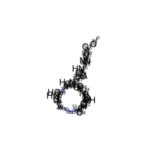 CCCOCCC(=O)N1CCN(c2ncc(CNC(=S)O[C@@H]3CC[C@@H](C[C@@H](N)[C@@H]4C[C@@H](OC)[C@H](C)/C=C(\C)[C@@H](O)[C@@H](O)C(=O)[C@H](C)C[C@H](C)/C=C/C=C/C=C(\C)[C@@H](OC)C[C@@H]5CC[C@@H](C)[C@@](O)(O5)C(=O)C(=O)N5CCCC[C@H]5C(=O)O4)C[C@H]3OC)cn2)CC1